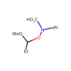 CCCN(OC(CC)OC)C(=O)O